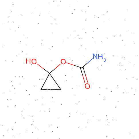 NC(=O)OC1(O)CC1